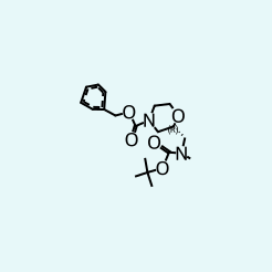 CN(C[C@@H]1CN(C(=O)OCc2ccccc2)CCO1)C(=O)OC(C)(C)C